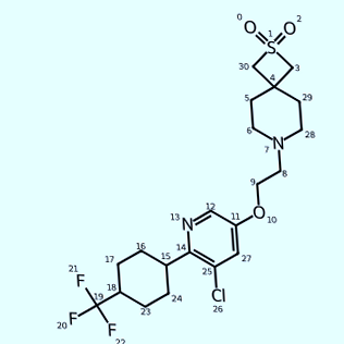 O=S1(=O)CC2(CCN(CCOc3cnc(C4CCC(C(F)(F)F)CC4)c(Cl)c3)CC2)C1